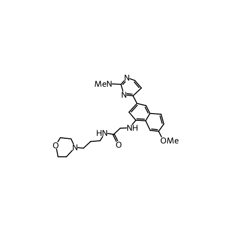 CNc1nccc(-c2cc(NCC(=O)NCCCN3CCOCC3)c3cc(OC)ccc3c2)n1